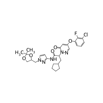 CC1(C)OCC(Cn2ccc(NC(=O)C(CC3CCCC3)n3ncc(Oc4cccc(Cl)c4F)cc3=O)n2)O1